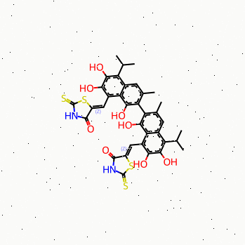 Cc1cc2c(C(C)C)c(O)c(O)c(/C=C3\SC(=S)NC3=O)c2c(O)c1-c1c(C)cc2c(C(C)C)c(O)c(O)c(/C=C3\SC(=S)NC3=O)c2c1O